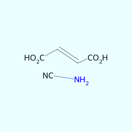 N#CN.O=C(O)/C=C/C(=O)O